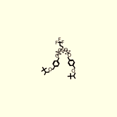 CC(COCc1ccc(CO[Si](C)(C)O[Si](C)(CCC(F)(F)F)O[Si](C)(C)OCc2ccc(COCC(C)C(C)(C)C)cc2)cc1)C(C)(C)C